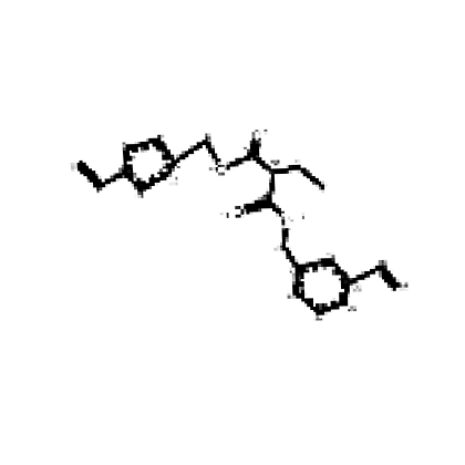 C=Cc1ccc(COC(=O)C(CC)C(=O)OCc2cccc(C=C)c2)cc1